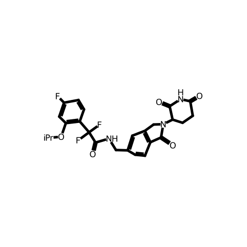 CC(C)Oc1cc(F)ccc1C(F)(F)C(=O)NCc1ccc2c(c1)CN(C1CCC(=O)NC1=O)C2=O